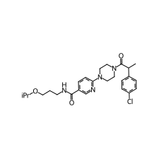 CC(C)OCCCNC(=O)c1ccc(N2CCN(C(=O)C(C)c3ccc(Cl)cc3)CC2)nc1